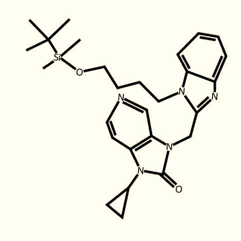 CC(C)(C)[Si](C)(C)OCCCCn1c(Cn2c(=O)n(C3CC3)c3ccncc32)nc2ccccc21